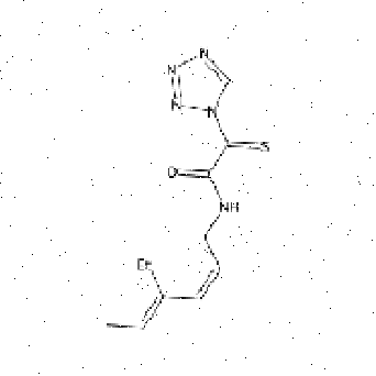 C/C=C(/C=C\CNC(=O)C(=S)n1cnnn1)CC